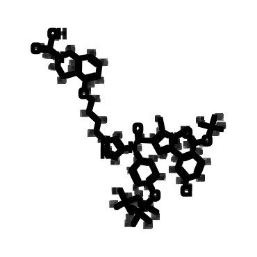 Cc1c(C(=O)N(c2ccc(O[Si](C)(CC(C)(C)C)C(C)(C)C)cc2)c2cnn(CCCCOc3cccc4c3CCN(C(=O)O)C4)c2)cc(-c2cc(Cl)ccc2C(=O)OC(C)(C)C)n1C